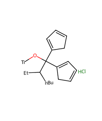 CCCCC(CC)C([O][Ti])(C1=CC=CC1)C1=CC=CC1.Cl